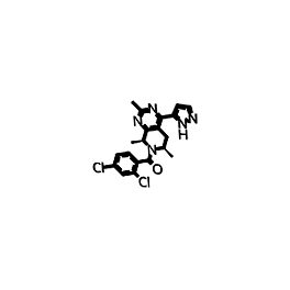 Cc1nc(-c2ccn[nH]2)c2c(n1)[C@H](C)N(C(=O)c1ccc(Cl)cc1Cl)[C@H](C)C2